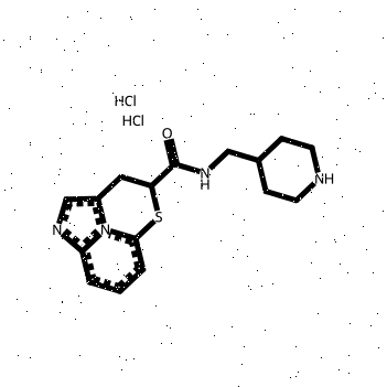 Cl.Cl.O=C(NCC1CCNCC1)C1Cc2cnc3cccc(n23)S1